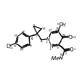 CNC(=O)c1nn(CC2(c3ccc(Cl)cc3)CC2)cc(O)c1=O